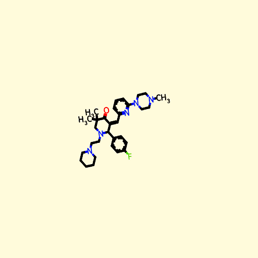 CN1CCN(c2cccc(/C=C3\C(=O)C(C)(C)CN(CCN4CCCCC4)C3c3ccc(F)cc3)n2)CC1